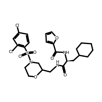 O=C(N[C@@H](CC1CCCCC1)C(=O)NCC1CN(S(=O)(=O)c2ccc(Cl)cc2Cl)CCO1)c1ccco1